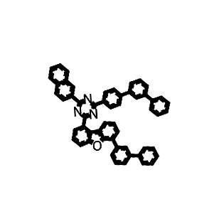 c1ccc(-c2cccc(-c3ccc(-c4nc(-c5ccc6ccccc6c5)nc(-c5cccc6oc7c(-c8cccc(-c9ccccc9)c8)cccc7c56)n4)cc3)c2)cc1